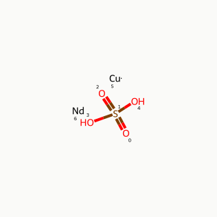 O=S(=O)(O)O.[Cu].[Nd]